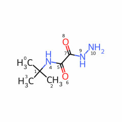 CC(C)(C)NC(=O)C(=O)NN